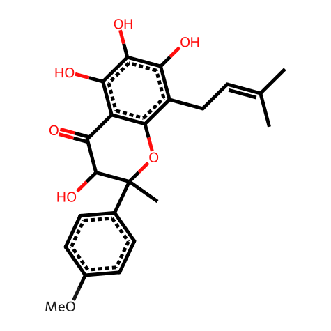 COc1ccc(C2(C)Oc3c(CC=C(C)C)c(O)c(O)c(O)c3C(=O)C2O)cc1